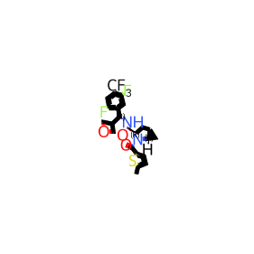 Cc1ccc(C(=O)N2[C@@H](C(=O)N[C@@H](c3cc(F)c(C(F)(F)F)cc3F)C3COC3)CC3C[C@H]32)s1